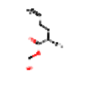 C=CCC=C(C)C(=O)OCO